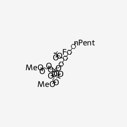 C=C(C)C(=O)OCc1cc(-c2ccc(C3CCC(CCCCC)CC3)cc2F)ccc1-c1ccc(OCC(COC(=O)CCC(=O)OC)(COC(=O)CCC(=O)OC)COC(=O)C(=C)C)cc1